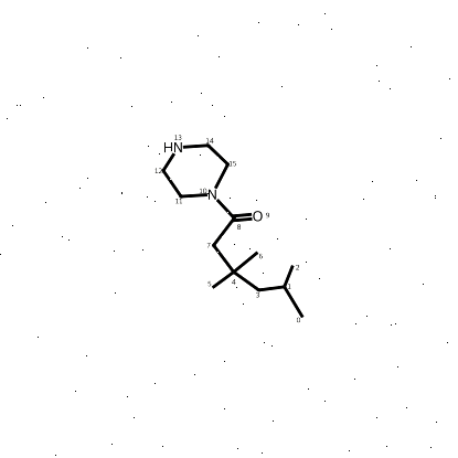 CC(C)CC(C)(C)CC(=O)N1CCNCC1